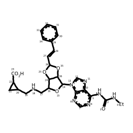 CCNC(=O)Nc1ncnc2c1ncn2C1OC(CNCC2CC2C(=O)O)C2OC(C=Cc3ccccc3)OC21